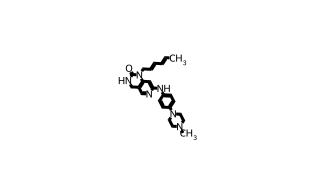 CC=CC=CCN1C(=O)NCc2cnc(Nc3ccc(N4CCN(C)CC4)cc3)cc21